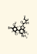 C=C1CN(C(=O)NC(C)CC)C/C1=C(/N=C(N)N)c1cc(OC)c(Br)cc1Cl